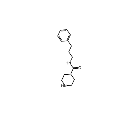 O=C(NCCCc1ccccc1)C1CCNCC1